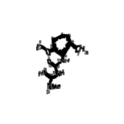 CCOc1cccc(C)c1NC(=O)NC(=N)NC